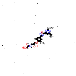 CCc1cc(-c2noc(-c3cc(CC(C)C)nc(NC)n3)n2)cc(C)c1OC[C@@H](O)CNC(=O)CO